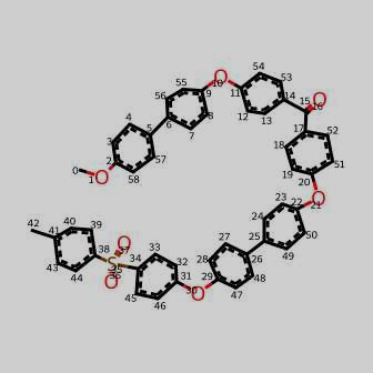 COc1ccc(-c2ccc(Oc3ccc(C(=O)c4ccc(Oc5ccc(-c6ccc(Oc7ccc(S(=O)(=O)c8ccc(C)cc8)cc7)cc6)cc5)cc4)cc3)cc2)cc1